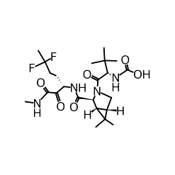 CNC(=O)C(=O)[C@H](CCC(C)(F)F)NC(=O)[C@@H]1[C@@H]2[C@H](CN1C(=O)[C@@H](NC(=O)O)C(C)(C)C)C2(C)C